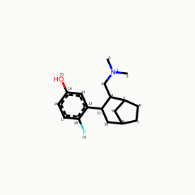 CN(C)CC1C2CCC(C2)CC1c1cc(O)ccc1F